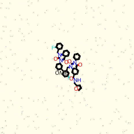 COc1ccc(-n2c(=O)c3ccccc3n(Cc3ccccc3F)c2=O)cc1-c1ccc(F)cc1Cn1c(=O)n(-c2ccccc2)c(=O)c2ccc(C(=O)NCc3ccco3)cc21